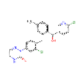 [CH2]c1ccc(C(O)c2ccc(Cl)nc2)c(Cc2ccc(N3N=CCNC3=O)cc2Cl)c1